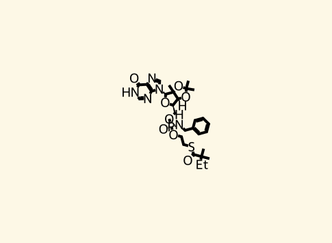 CCC(C)(C)C(=O)SCCOP(=O)(NCc1ccccc1)OC[C@H]1O[C@@H](n2cnc3c(=O)[nH]cnc32)C2(C)OC(C)(C)O[C@@H]12